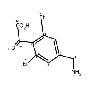 CCc1cc(CN)cc(CC)c1C(=O)C(=O)O